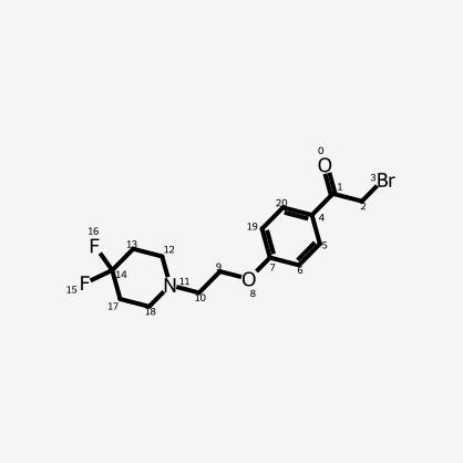 O=C(CBr)c1ccc(OCCN2CCC(F)(F)CC2)cc1